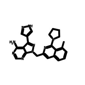 Cc1cccc2cc(Cn3nc(-c4cn[nH]c4)c4c(N)ncnc43)nc(N3CCCC3)c12